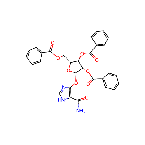 NC(=O)c1[nH]cnc1O[C@H]1O[C@H](COC(=O)c2ccccc2)[C@@H](OC(=O)c2ccccc2)[C@@H]1OC(=O)c1ccccc1